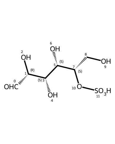 O=C[C@H](O)[C@@H](O)[C@H](O)[C@H](CO)OS(=O)(=O)O